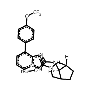 CC(C)(C)OC(=O)N1CC2CC[C@@H](C1)[C@@H]2Nc1nc2c(-c3ccc(OC(F)(F)F)cc3)cccn2n1